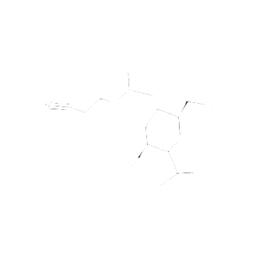 [2H]C[C@H]1OC(C(F)F)[C@@H](C)C[C@@H]1OP(C)OCCC#N